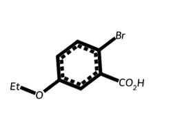 CCOc1ccc(Br)c(C(=O)O)c1